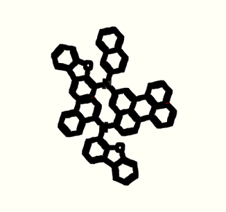 c1ccc(-c2ccc(N(c3cccc4ccccc34)c3cccc4c3oc3ccccc34)c3cc(N(c4ccc5ccccc5c4)c4cccc5c4oc4ccccc45)cc(-c4ccccc4)c23)cc1